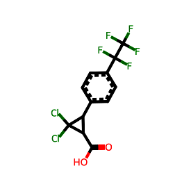 O=C(O)C1C(c2ccc(C(F)(F)C(F)(F)F)cc2)C1(Cl)Cl